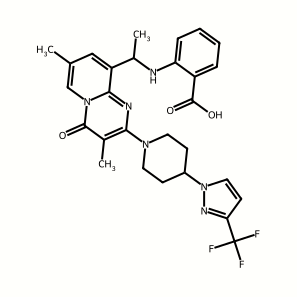 Cc1cc(C(C)Nc2ccccc2C(=O)O)c2nc(N3CCC(n4ccc(C(F)(F)F)n4)CC3)c(C)c(=O)n2c1